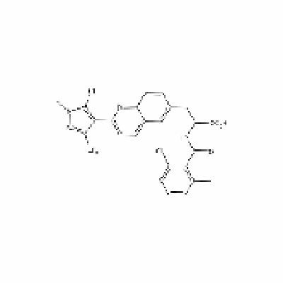 Cc1cccc(Cl)c1C(=O)NC(Cc1ccc2nc(-c3c(C(F)(F)F)nn(C)c3Cl)ccc2c1)C(=O)O